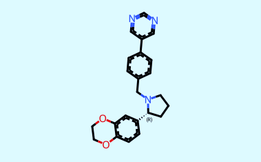 c1ncc(-c2ccc(CN3CCC[C@@H]3c3ccc4c(c3)OCCO4)cc2)cn1